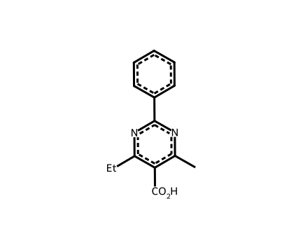 CCc1nc(-c2ccccc2)nc(C)c1C(=O)O